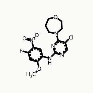 COc1cc(F)c([N+](=O)[O-])cc1Nc1ncc(Cl)c(N2CCCOCC2)n1